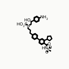 CS(=O)(=O)NC(=O)c1ccc(-c2ccc(CCCN(C[C@@H](O)c3ccc(N)cc3)C(=O)O)cc2)cc1C1CCCC1